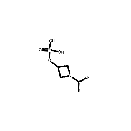 CC(S)N1CC(OP(=O)(O)O)C1